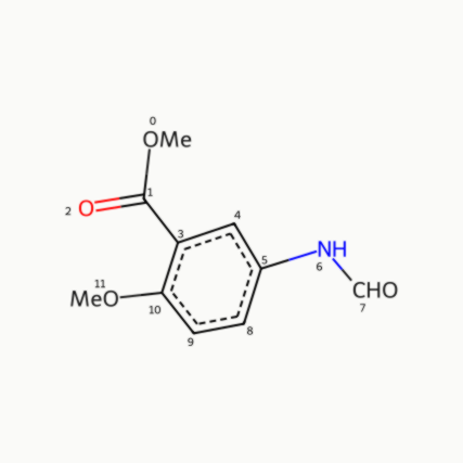 COC(=O)c1cc(NC=O)ccc1OC